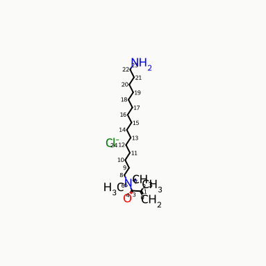 C=C(C)C(=O)[N+](C)(C)CCCCCCCCCCCCCCCN.[Cl-]